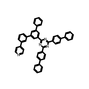 c1ccc(-c2ccc(-c3nc(-c4ccc(-c5ccccc5)cc4)nc(-c4cc(-c5ccccc5)cc(-c5cccc(-c6ccncc6)c5)c4)n3)cc2)cc1